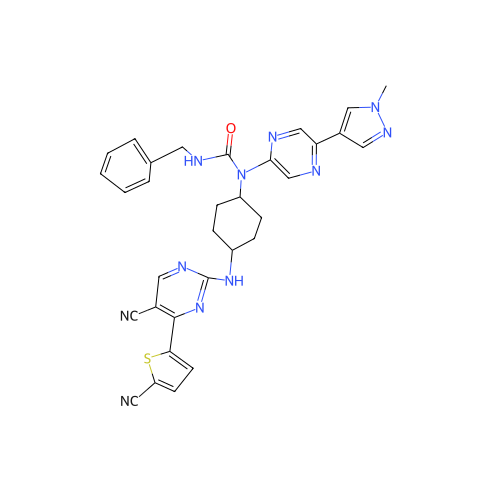 Cn1cc(-c2cnc(N(C(=O)NCc3ccccc3)C3CCC(Nc4ncc(C#N)c(-c5ccc(C#N)s5)n4)CC3)cn2)cn1